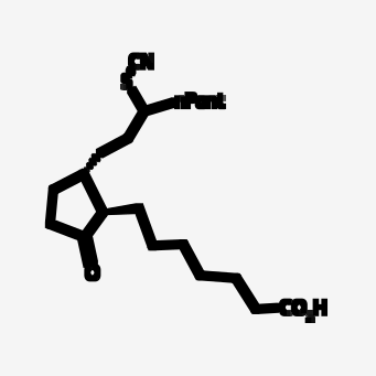 CCCCCC(CC[C@H]1CCC(=O)[C@@H]1CCCCCCC(=O)O)SC#N